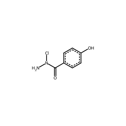 NN(Cl)C(=O)c1ccc(O)cc1